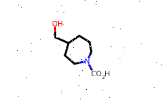 O=C(O)N1CCCC(CO)CC1